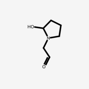 O=CCN1CCCC1O